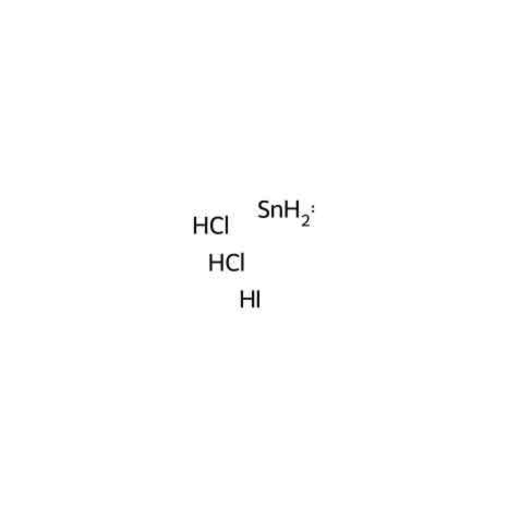 Cl.Cl.I.[SnH2]